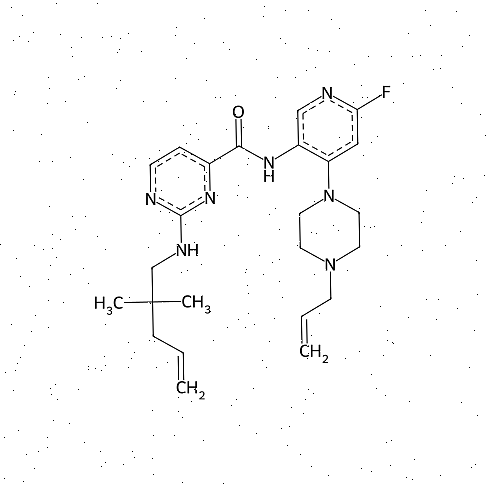 C=CCN1CCN(c2cc(F)ncc2NC(=O)c2ccnc(NCC(C)(C)CC=C)n2)CC1